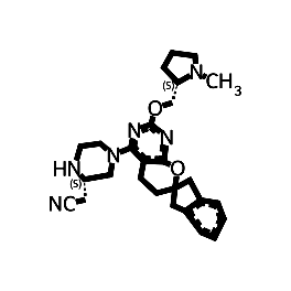 CN1CCC[C@H]1COc1nc2c(c(N3CCN[C@@H](CC#N)C3)n1)CCC1(Cc3ccccc3C1)O2